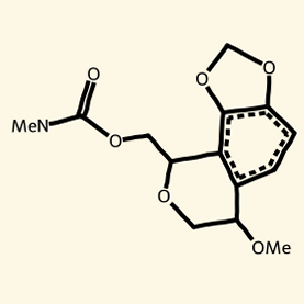 CNC(=O)OCC1OCC(OC)c2ccc3c(c21)OCO3